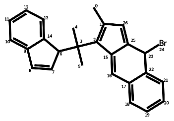 CC1=C(C(C)(C)C2C=Cc3ccccc32)C2=Cc3ccccc3C(Br)C2=C1